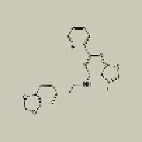 Cc1csc2nc(-c3ccccn3)nc(NCCc3ccc4c(c3)OCO4)c12